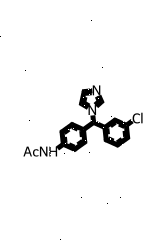 CC(=O)Nc1ccc(C(c2cccc(Cl)c2)n2ccnc2)cc1